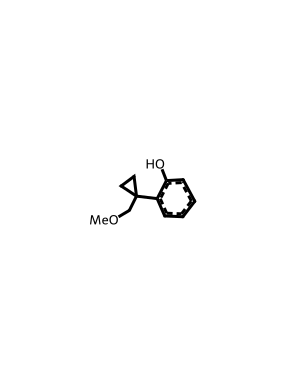 COCC1(c2ccccc2O)CC1